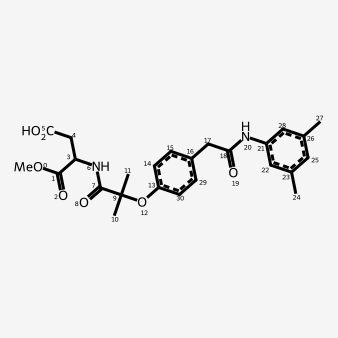 COC(=O)C(CC(=O)O)NC(=O)C(C)(C)Oc1ccc(CC(=O)Nc2cc(C)cc(C)c2)cc1